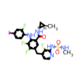 CNS(=O)(=O)Nc1nccc(Cc2cc(C(=O)N[C@@H]3C[C@H]3C)c(Nc3ccc(I)cc3F)c(F)c2F)c1F